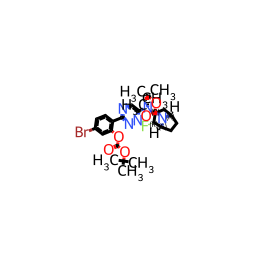 CN(c1cnc(-c2ccc(Br)cc2OC(=O)OC(C)(C)C)nn1)[C@@H]1C[C@H]2CC[C@@H]([C@@H]1F)N2C(=O)OC(C)(C)C